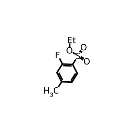 CCOS(=O)(=O)c1ccc(C)cc1F